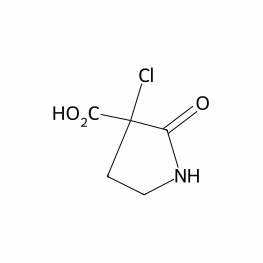 O=C(O)C1(Cl)CCNC1=O